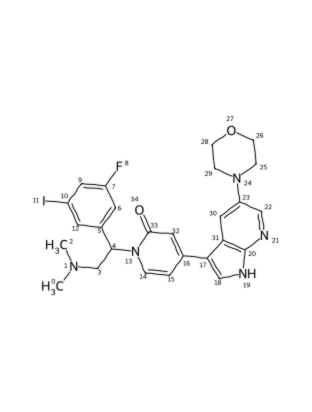 CN(C)CC(c1cc(F)cc(I)c1)n1ccc(-c2c[nH]c3ncc(N4CCOCC4)cc23)cc1=O